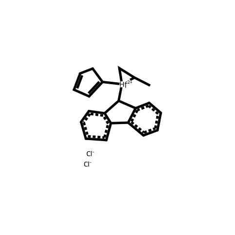 C[CH]1[CH2][Hf+2]1([C]1=CC=CC1)[CH]1c2ccccc2-c2ccccc21.[Cl-].[Cl-]